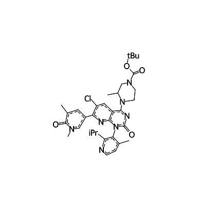 Cc1ccnc(C(C)C)c1-n1c(=O)nc(N2CCN(C(=O)OC(C)(C)C)CC2C)c2cc(Cl)c(-c3cc(C)c(=O)n(C)c3)nc21